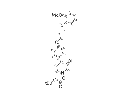 COc1ccccc1SCCCOc1ccc(C2CCN(OC(=O)OC(C)(C)C)CC2O)cc1